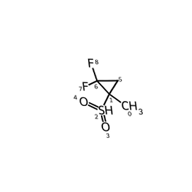 CC1([SH](=O)=O)CC1(F)F